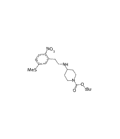 CSc1ccc([N+](=O)[O-])c(CCNC2CCN(C(=O)OC(C)(C)C)CC2)c1